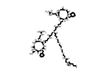 N=C(N)NCCC[C@@H]1NC(=O)[C@H](CCCCNC(=O)CCN(CCC(=O)NCCCC[C@@H]2NC(=O)N(Cc3ccccc3)NC(=O)[C@H](CC(=O)O)NC(=O)CNC(=O)[C@H](CCCNC(=N)N)NC2=O)C(=O)CCOCCOCCOCCOCCNC(=O)Cn2cc(CCCF)nn2)NC(=O)N(Cc2ccccc2)NC(=O)CNC(=O)CNC1=O